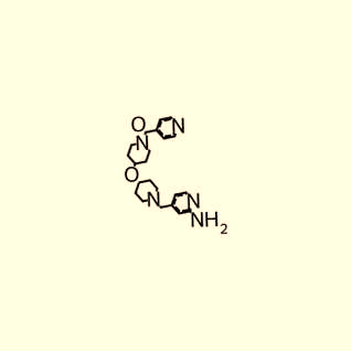 Nc1cc(CN2CCC(OC3CCN(C(=O)c4ccncc4)CC3)CC2)ccn1